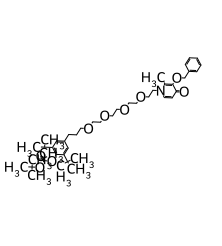 Cc1c(OCc2ccccc2)c(=O)ccn1CCOCCOCCOCCOCCCc1cc(C(C)(C)C)c(OC(=O)OC(C)(C)C)c(C(C)(C)C)c1